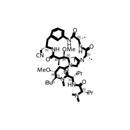 CC[C@H](C)[C@@H]([C@@H](CC(=O)N1CCC[C@H]1[C@H](OC)[C@@H](C)C(=O)N[C@H](CC#N)Cc1cccc(NC(=O)[C@H](C)NC(=O)[C@H](C)N)c1)OC)N(C)C(=O)[C@@H](NC(=O)[C@H](C(C)C)N(C)C)C(C)C